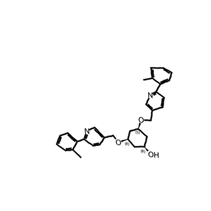 Cc1ccccc1-c1ccc(CO[C@@H]2C[C@H](O)C[C@H](OCc3ccc(-c4ccccc4C)nc3)C2)cn1